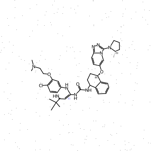 C[C@H]1CCCN1c1nnc2ccc(O[C@@H]3CCC(NC(=O)N/C(=C/C(=N)C(C)(C)C)Nc4ccc(Cl)c(OCCN(C)C)c4)c4ccccc43)cn12